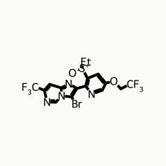 CC[S+]([O-])c1cc(OCC(F)(F)F)cnc1-c1nc2cc(C(F)(F)F)ncn2c1Br